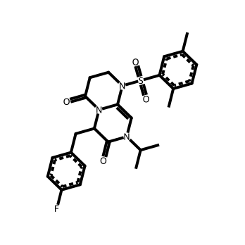 Cc1ccc(C)c(S(=O)(=O)N2CCC(=O)N3C2=CN(C(C)C)C(=O)C3Cc2ccc(F)cc2)c1